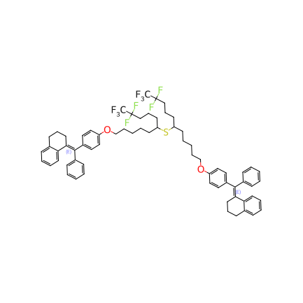 FC(F)(F)C(F)(F)CCCC(CCCCCOc1ccc(/C(=C2\CCCc3ccccc32)c2ccccc2)cc1)SC(CCCCCOc1ccc(/C(=C2\CCCc3ccccc32)c2ccccc2)cc1)CCCC(F)(F)C(F)(F)F